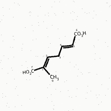 CC(=CCC=CC(=O)O)C(=O)O